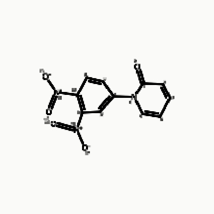 O=c1ccccn1-c1ccc([N+](=O)[O-])c([N+](=O)[O-])c1